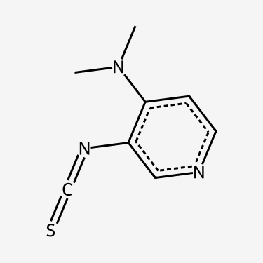 CN(C)c1ccncc1N=C=S